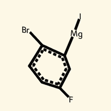 Fc1ccc(Br)[c]([Mg][I])c1